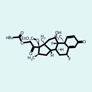 CCCCC(=O)OCC(=O)[C@@]1(OC(=O)OCC)[C@H](C)C[C@H]2[C@@H]3C[C@H](F)C4=CC(=O)C=C[C@]4(C)[C@@]3(F)[C@@H](O)C[C@@]21C